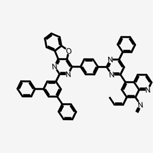 C=Nc1c(/C=C\C)cc(-c2cc(-c3ccccc3)nc(-c3ccc(-c4nc(-c5cc(-c6ccccc6)cc(-c6ccccc6)c5)nc5c4oc4ccccc45)cc3)n2)c2cccnc12